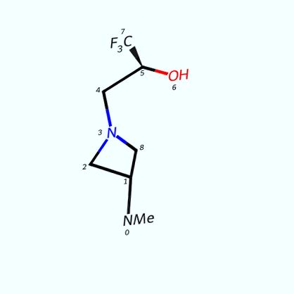 CNC1CN(C[C@H](O)C(F)(F)F)C1